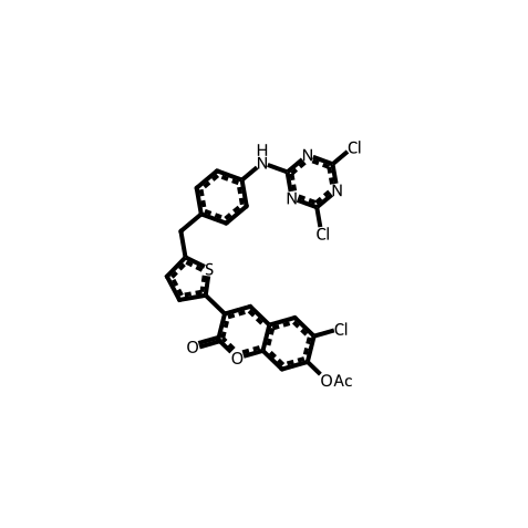 CC(=O)Oc1cc2oc(=O)c(-c3ccc(Cc4ccc(Nc5nc(Cl)nc(Cl)n5)cc4)s3)cc2cc1Cl